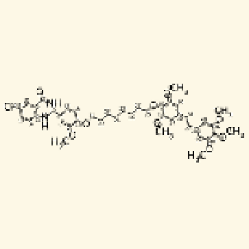 COc1cc(C2NC(=O)c3cc(Cl)ccc3N2)ccc1OCCCCCCCCOc1c(OC)cc(C=Cc2cc(OC)c(OC)c(OC)c2)cc1OC